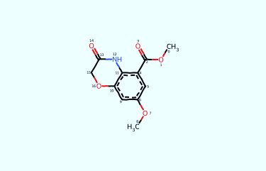 COC(=O)c1cc(OC)cc2c1NC(=O)CO2